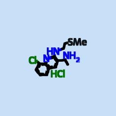 CSCCNc1nc2c(Cl)cccc2cc1C(C)N.Cl